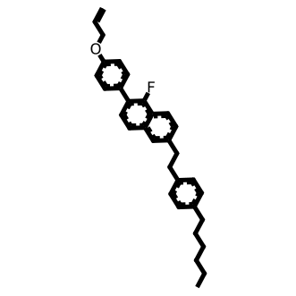 C=CCOc1ccc(-c2ccc3cc(CCc4ccc(CCCCCC)cc4)ccc3c2F)cc1